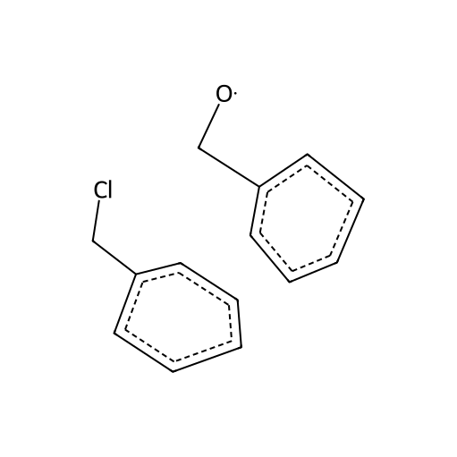 ClCc1ccccc1.[O]Cc1ccccc1